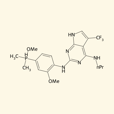 CCCNc1nc(Nc2ccc([PH](C)(C)OC)cc2OC)nc2[nH]cc(C(F)(F)F)c12